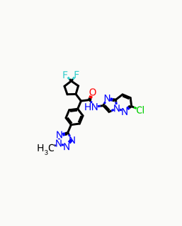 Cn1nnc(-c2ccc(C(C(=O)Nc3cn4nc(Cl)ccc4n3)C3CCC(F)(F)C3)cc2)n1